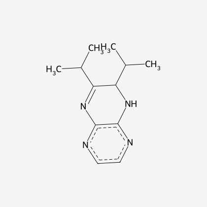 CC(C)C1=Nc2nccnc2NC1C(C)C